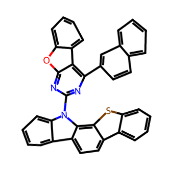 c1ccc2cc(-c3nc(-n4c5ccccc5c5ccc6c7ccccc7sc6c54)nc4oc5ccccc5c34)ccc2c1